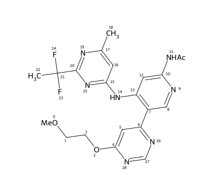 COCCOc1cc(-c2cnc(NC(C)=O)cc2Nc2cc(C)nc(C(C)(F)F)n2)ncn1